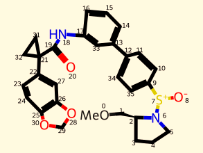 COC[C@@H]1CCCN1[S+]([O-])c1ccc(-c2cccc(NC(=O)C3(c4ccc5c(c4)OCO5)CC3)c2)cc1